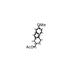 COc1ccn2c3c(cc2c1)CC(COC(C)=O)CC3